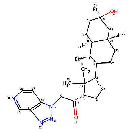 CC[C@H]1[C@H]([C@@H]2CC[C@H](C(=O)Cn3nnc4cnccc43)C2(C)C)CC[C@@H]2C[C@@](O)(CC)CC[C@@H]21